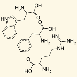 N=C(N)NCCCC(N)C(=O)O.NC(Cc1c[nH]c2ccccc12)C(=O)O.NC(Cc1ccccc1)C(=O)O